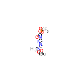 CN(C(=O)OC(C)(C)C)[C@H]1CCN(c2ccc(-n3ccc(OS(=O)(=O)C(F)(F)F)cc3=O)cn2)C1